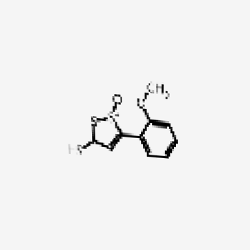 COc1ccccc1C1=CC(S)S[S+]1[O-]